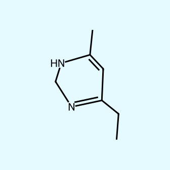 CCC1=NCNC(C)=C1